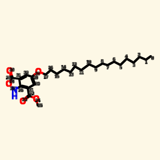 CCCCCCCCCCCCCCCCCCOc1cc(C(=O)OC)c2[nH]oc(=O)c2c1